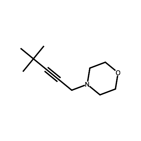 CC(C)(C)C#CCN1CCOCC1